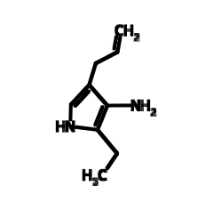 C=CCc1c[nH]c(CC)c1N